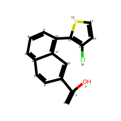 C=C(O)c1ccc2cccc(-c3sccc3Cl)c2c1